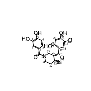 O=C(c1ccc(O)c(O)c1)N1CCc2noc(-c3cc(Cl)c(O)cc3O)c2C1